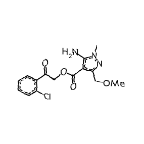 COCc1nn(C)c(N)c1C(=O)OCC(=O)c1ccccc1Cl